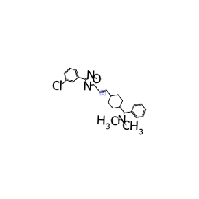 CN(C)C(c1ccccc1)C1CCC(/C=C/c2nc(-c3cccc(Cl)c3)no2)CC1